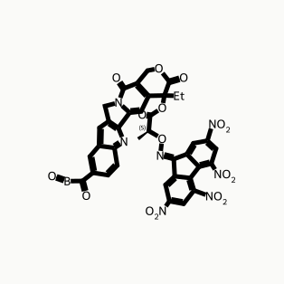 CCC1(OC(=O)[C@H](C)ON=C2c3cc([N+](=O)[O-])cc([N+](=O)[O-])c3-c3c2cc([N+](=O)[O-])cc3[N+](=O)[O-])C(=O)OCc2c1cc1n(c2=O)Cc2cc3cc(C(=O)B=O)ccc3nc2-1